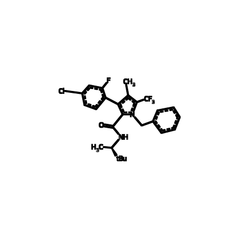 Cc1c(-c2ccc(Cl)cc2F)c(C(=O)N[C@H](C)C(C)(C)C)n(Cc2ccccc2)c1C(F)(F)F